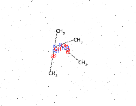 CCCCCCCCCCCCCCCOC(=O)CCCNCC(O)CN(CCCCCCCCCCCCCC)CCCCN(CCCCCCCCCCCCCC)CC(O)CNCCCC(=O)OCCCCCCCCCCCCCC